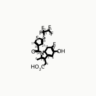 CC1=C(CC(=O)O)C2=CC(O)=C(F)CC2N1C(=O)c1csc(SC(F)(F)C(F)F)c1